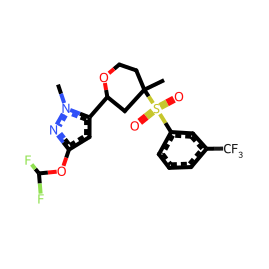 Cn1nc(OC(F)F)cc1C1CC(C)(S(=O)(=O)c2cccc(C(F)(F)F)c2)CCO1